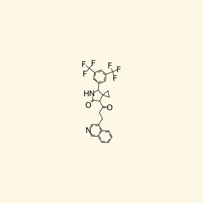 O=C(CCc1cncc2ccccc12)C1C(=O)NC(c2cc(C(F)(F)F)cc(C(F)(F)F)c2)C12CC2